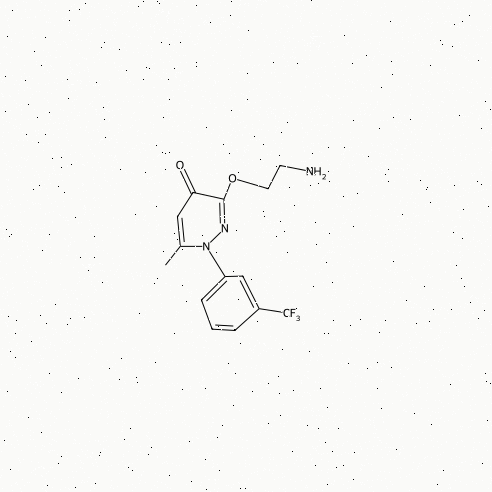 Cc1cc(=O)c(OCCN)nn1-c1cccc(C(F)(F)F)c1